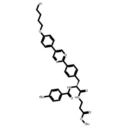 CC(C)CCCCOc1ccc(-c2cnc(-c3ccc(C[C@H](NC(=O)c4ccc(C(C)(C)C)cc4)C(=O)NCCC(=O)OC(C)(C)C)cc3)nc2)cc1